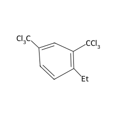 [CH2]Cc1ccc(C(Cl)(Cl)Cl)cc1C(Cl)(Cl)Cl